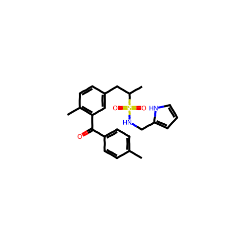 Cc1ccc(C(=O)c2cc(CC(C)S(=O)(=O)NCc3ccc[nH]3)ccc2C)cc1